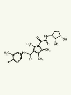 Cc1cc(NC(=O)c2c(C)c(C(=O)C(=O)N[C@H]3CC[C@H](O)[C@H]3O)n(C)c2C)ccc1F